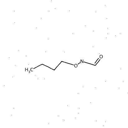 CCCCO[N]C=O